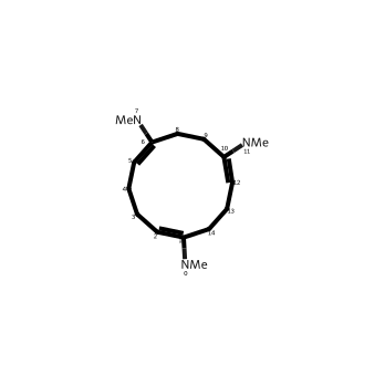 CNC1=CCCC=C(NC)CCC(NC)=CCC1